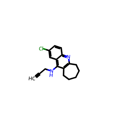 C#CCNc1c2c(nc3ccc(Cl)cc13)CCCCC2